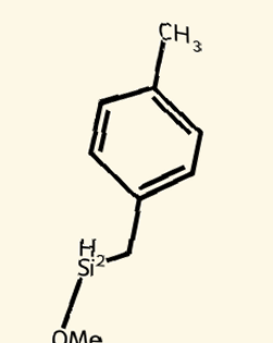 CO[SiH2]Cc1ccc(C)cc1